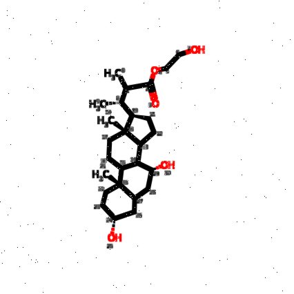 CC(C(=O)OCCO)[C@@H](C)[C@H]1CCC2C3C(CC[C@@]21C)[C@@]1(C)CC[C@@H](O)CC1C[C@H]3O